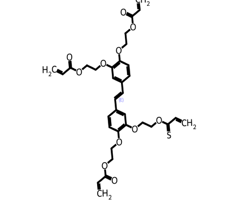 C=CC(=O)OCCOc1ccc(/C=C/c2ccc(OCCOC(=O)C=C)c(OCCOC(=S)C=C)c2)cc1OCCOC(=O)C=C